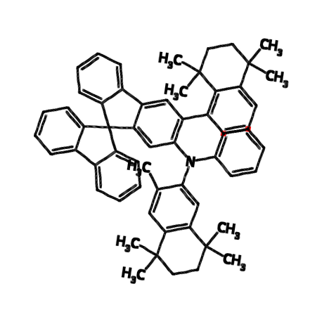 Cc1cc2c(cc1N(c1ccccc1)c1cc3c(cc1-c1cccc4c1C(C)(C)CCC4(C)C)-c1ccccc1C31c3ccccc3-c3ccccc31)C(C)(C)CCC2(C)C